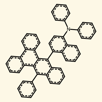 c1ccc(-c2c3ccccc3c(-c3ccc(N(c4ccccc4)c4ccccc4)c4ccccc34)c3c4ccccc4c4ccccc4c23)cc1